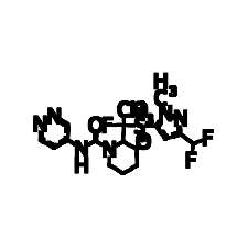 Cn1nc(C(F)F)cc1S(=O)(=O)C(C)(F)C1CCCCN1C(=O)Nc1ccnnc1